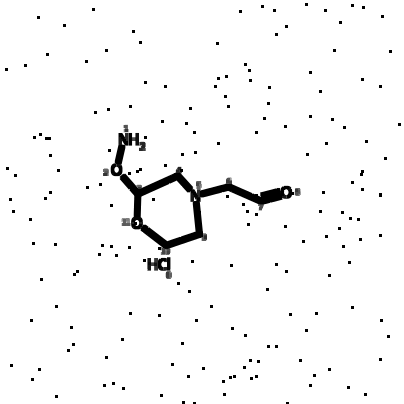 Cl.NOC1CN(CC=O)CCO1